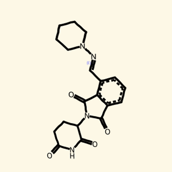 O=C1CCC(N2C(=O)c3cccc(/C=N/N4CCCCC4)c3C2=O)C(=O)N1